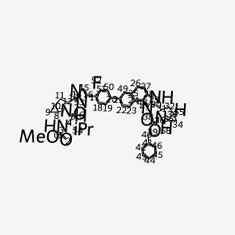 COC(=O)N[C@H](C(=O)N1C2CC2C[C@H]1c1ncc(-c2ccc(-c3ccc4c(ccc5[nH]c([C@@H]6C[C@H]7C[C@H]7N6C(=O)OCc6ccccc6)nc54)c3)cc2F)[nH]1)C(C)C